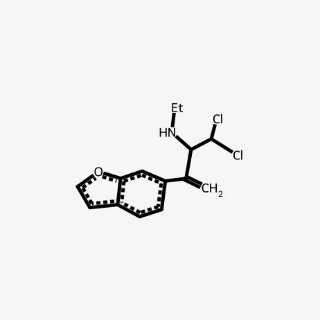 C=C(c1ccc2ccoc2c1)C(NCC)C(Cl)Cl